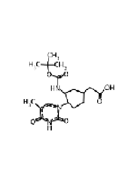 Cc1cn(C2CCC(CC(=O)O)CC2NC(=O)OC(C)(C)C)c(=O)[nH]c1=O